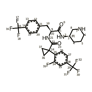 O=C(N[C@@H]1CCCNC1)[C@H](Cc1ccc(C(F)(F)F)cc1)NC(=O)C1(c2ccc(C(F)(F)F)cc2F)CC1